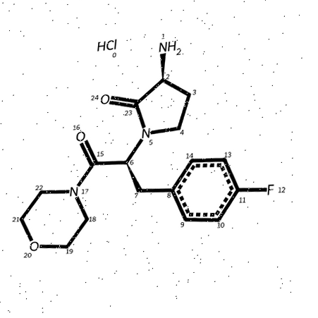 Cl.N[C@H]1CCN([C@@H](Cc2ccc(F)cc2)C(=O)N2CCOCC2)C1=O